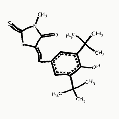 CN1C(=O)/C(=C\c2cc(C(C)(C)C)c(O)c(C(C)(C)C)c2)SC1=S